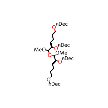 CCCCCCCCCCOCCCC=C(OCCCCCCCCCC)C(OC)OC(OC)C(=CCCCOCCCCCCCCCC)OCCCCCCCCCC